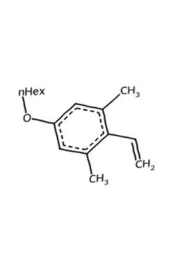 C=Cc1c(C)cc(OCCCCCC)cc1C